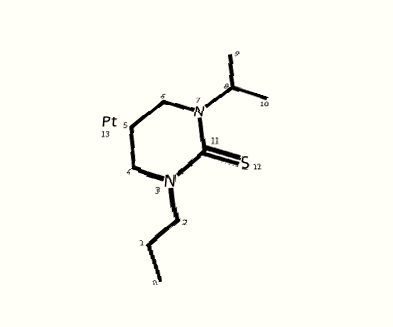 CCCN1CCCN(C(C)C)C1=S.[Pt]